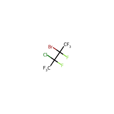 FC(F)(F)C(F)(Cl)C(F)(Br)C(F)(F)F